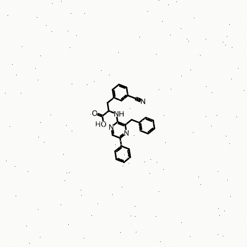 N#Cc1cccc(CC(Nc2ncc(-c3ccccc3)nc2Cc2ccccc2)C(=O)O)c1